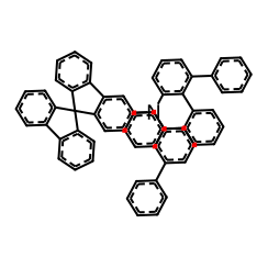 c1ccc(-c2cccc(N(c3ccc4c(c3)-c3ccccc3C43c4ccccc4-c4ccccc43)c3cccc(-c4ccccc4)c3-c3ccccc3-c3ccccc3)c2)cc1